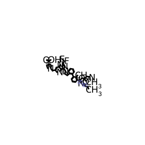 CC/C=C/N=C(\OC(CC#N)OC)c1cccc(-c2cccc3c2CCN3c2nc(C(F)F)nc3cc(CN4CC[C@@H](C(=O)O)C4)cnc23)c1C